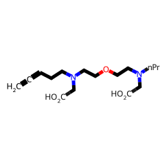 C=C=CCCN(CCOCCN(CCC)CC(=O)O)CC(=O)O